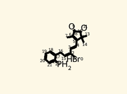 Br.CC(C=CC1=C(C)C(=O)C(=O)C1(C)C)=CCc1ccccc1P